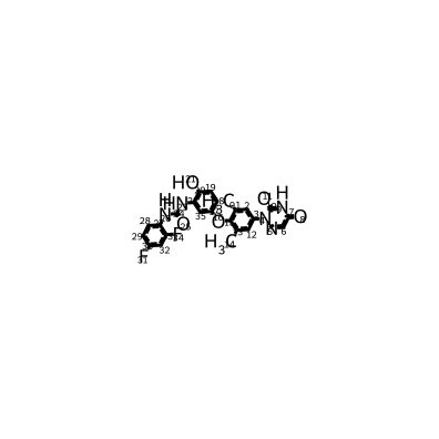 Cc1cc(-n2ncc(=O)[nH]c2=O)cc(C)c1Oc1ccc(O)c(NC(=O)Nc2ccc(F)cc2F)c1